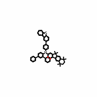 CC1(C)CCC(C)(C)c2cc3c(cc21)-c1ccc(N(c2ccc(-c4ccc5sc6ccccc6c5c4)cc2)c2ccc(-c4ccccc4)cc2-c2ccccc2)cc1C3(C)C